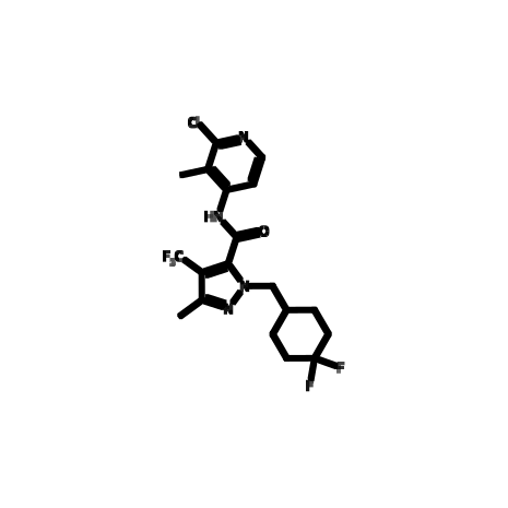 Cc1nn(CC2CCC(F)(F)CC2)c(C(=O)Nc2ccnc(Cl)c2C)c1C(F)(F)F